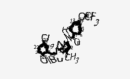 Cc1cc(NC(=O)c2ccc(OC(F)(F)F)cc2)nn1Cc1cc(Cl)ccc1OCC(C)C